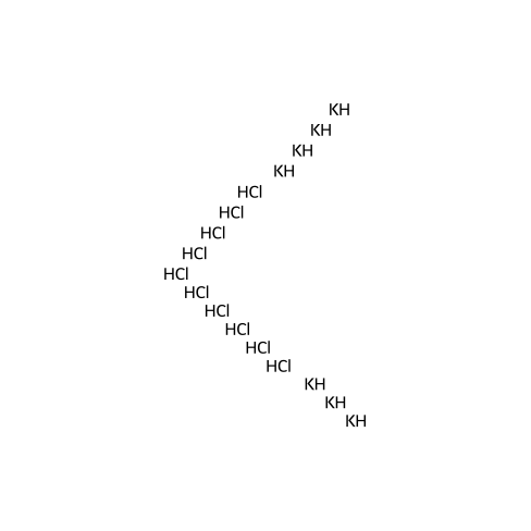 Cl.Cl.Cl.Cl.Cl.Cl.Cl.Cl.Cl.Cl.[KH].[KH].[KH].[KH].[KH].[KH].[KH]